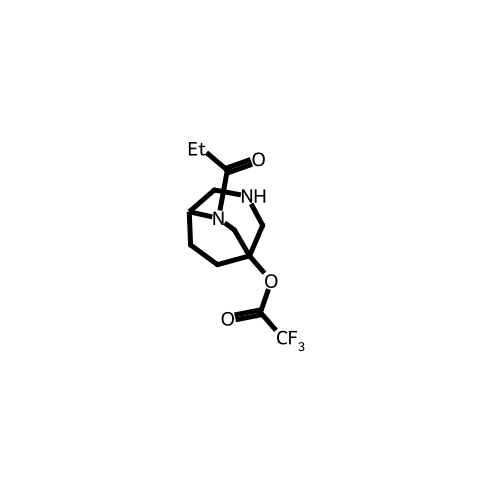 CCC(=O)N1CC2(OC(=O)C(F)(F)F)CCC1CNC2